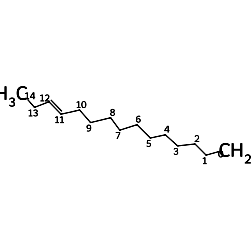 [CH2]CCCCCCCCCCC=CCC